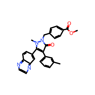 COC(=O)c1ccc(Cn2c(=O)c(-c3cccc(C)c3)c(-c3ccc4nccnc4c3)n2C)cc1